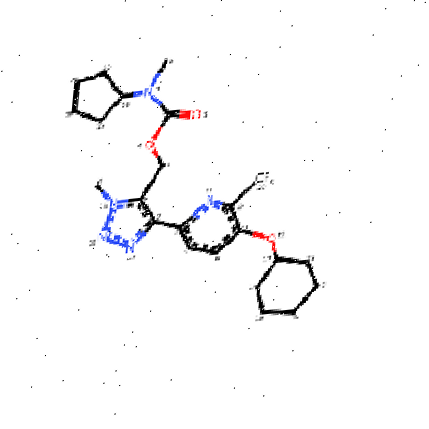 CN(C(=O)OCc1c(-c2ccc(OC3CCCCC3)c(C(F)(F)F)n2)nnn1C)C1CCCC1